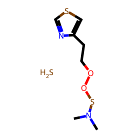 CN(C)SOOCCc1cscn1.S